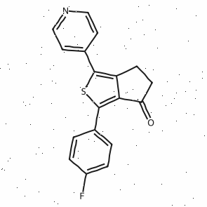 O=C1CCc2c(-c3ccncc3)sc(-c3ccc(F)cc3)c21